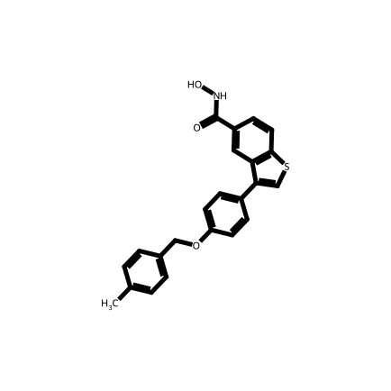 Cc1ccc(COc2ccc(-c3csc4ccc(C(=O)NO)cc34)cc2)cc1